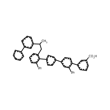 CC(C)c1cc(-c2ccc(-c3c(CC(C)c4cccc(-c5ccccc5)c4)cccc3C(C)C)cc2)ccc1-c1cccc(C(=O)O)c1